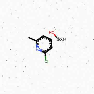 Cc1cccc(Cl)n1.O=S(=O)(O)O